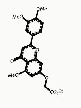 CCOC(=O)COc1cc(OC)c2c(=O)cc(-c3ccc(OC)c(OC)c3)oc2c1